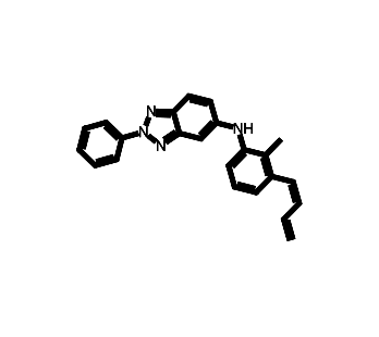 C=C/C=C\c1cccc(Nc2ccc3nn(-c4ccccc4)nc3c2)c1C